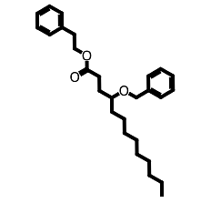 CCCCCCCCCC(CCC(=O)OCCc1ccccc1)OCc1ccccc1